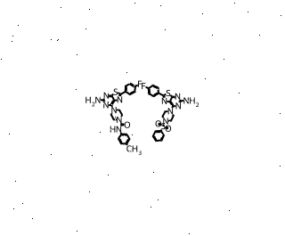 Cc1ccc(NC(=O)N2CCN(c3nc(N)nc4sc(-c5ccc(F)cc5)nc34)CC2)cc1.Nc1nc(N2CCN(S(=O)(=O)c3ccccc3)CC2)c2nc(-c3ccc(F)cc3)sc2n1